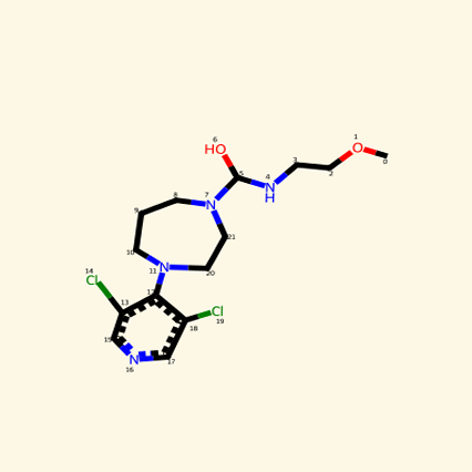 COCCNC(O)N1CCCN(c2c(Cl)cncc2Cl)CC1